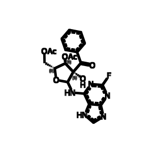 CC(=O)OC[C@H]1OC(Nc2nc(F)nc3nc[nH]c23)[C@](O)(C(=O)c2ccccc2)[C@@H]1OC(C)=O